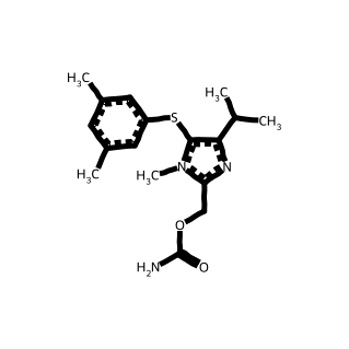 Cc1cc(C)cc(Sc2c(C(C)C)nc(COC(N)=O)n2C)c1